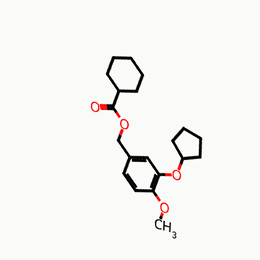 COc1ccc(COC(=O)C2CCCCC2)cc1OC1CCCC1